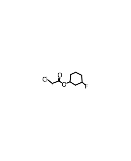 O=C([CH]Cl)OC1CCCC(F)C1